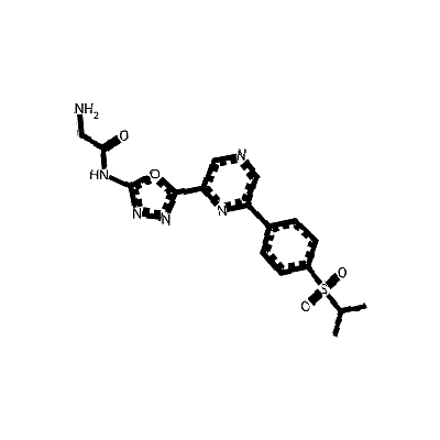 CC(C)S(=O)(=O)c1ccc(-c2cncc(-c3nnc(NC(=O)CN)o3)n2)cc1